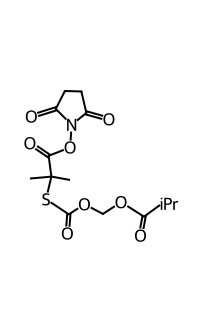 CC(C)C(=O)OCOC(=O)SC(C)(C)C(=O)ON1C(=O)CCC1=O